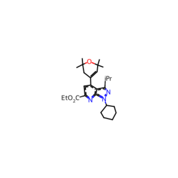 CCOC(=O)c1cc(C2=CC(C)(C)OC(C)(C)C2)c2c(C(C)C)nn(C3CCCCC3)c2n1